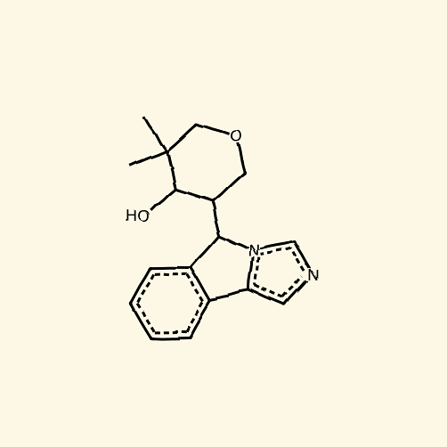 CC1(C)COCC(C2c3ccccc3-c3cncn32)C1O